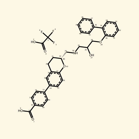 O=C(O)C(F)(F)F.O=C(O)c1ccc(-c2ccc3c(c2)CC[C@H](CNCC(O)COc2ccccc2-c2ccccc2)O3)cc1